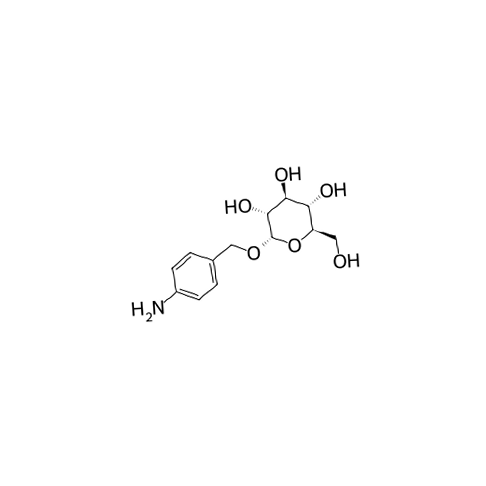 Nc1ccc(CO[C@H]2O[C@H](CO)[C@@H](O)[C@H](O)[C@H]2O)cc1